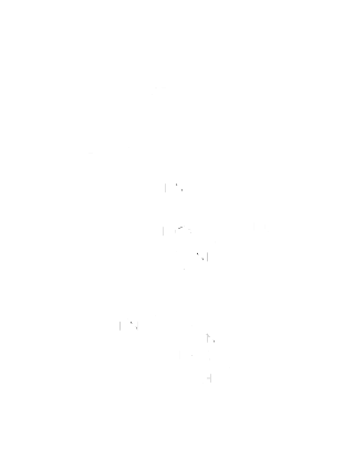 CCNc1cc(C(=O)N[C@@H](Cc2ccccc2)[C@@H](O)CNCc2cc(C(F)(F)F)cc(C(F)(F)F)c2)cc(N2CCCS2(O)O)c1.Cl